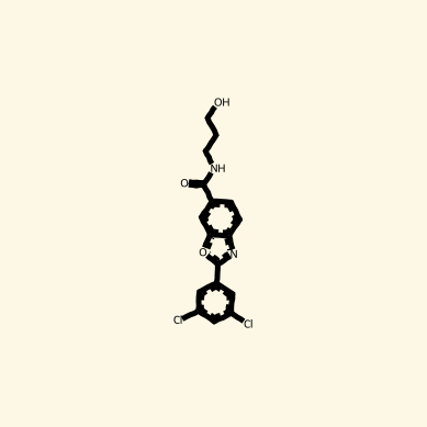 O=C(NCCCO)c1ccc2nc(-c3cc(Cl)cc(Cl)c3)oc2c1